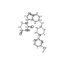 COc1ccnc(N2CCC(Cc3ccn4ncc(N5CCC(=O)NC5=O)c4c3)CC2)n1